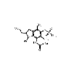 CCCN1c2c(c(C)c(NS(N)(=O)=O)c(C)c2NC(=O)C(C)(C)C)CC1COC